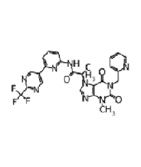 CC(C(=O)Nc1cccc(-c2cnc(C(F)(F)F)nc2)n1)n1cnc2c1c(=O)n(Cc1ccccn1)c(=O)n2C